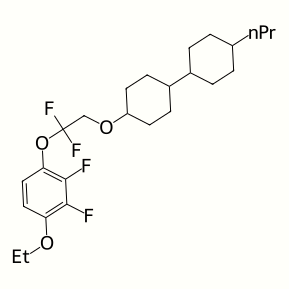 CCCC1CCC(C2CCC(OCC(F)(F)Oc3ccc(OCC)c(F)c3F)CC2)CC1